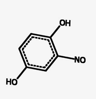 O=Nc1cc(O)ccc1O